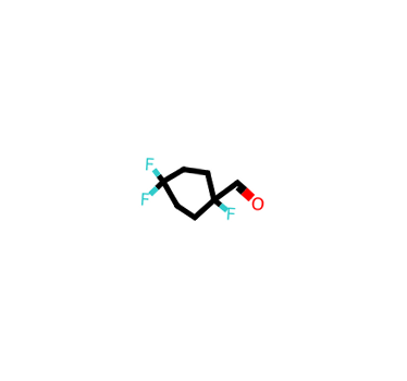 O=CC1(F)CCC(F)(F)CC1